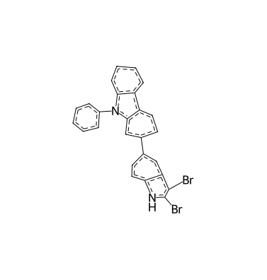 Brc1[nH]c2ccc(-c3ccc4c5ccccc5n(-c5ccccc5)c4c3)cc2c1Br